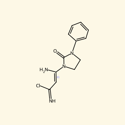 N=C(Cl)/C=C(\N)N1CCN(c2ccccc2)C1=O